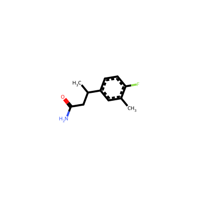 Cc1cc(C(C)CC(N)=O)ccc1F